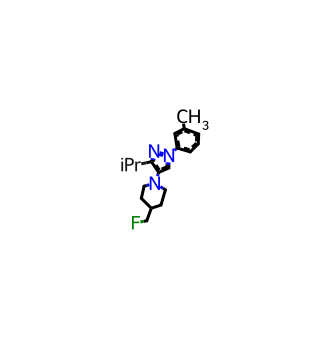 Cc1cccc(-n2cc(N3CCC(CF)CC3)c(C(C)C)n2)c1